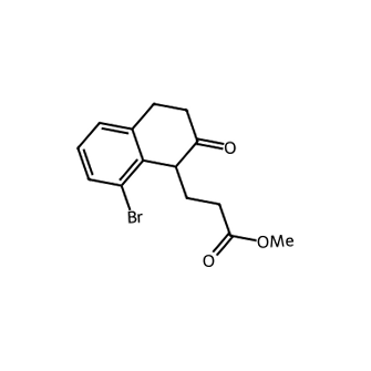 COC(=O)CCC1C(=O)CCc2cccc(Br)c21